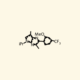 COc1cc(C(F)(F)F)ccc1-c1nc2c(C)cn(C(C)C)c2nc1C